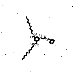 CCCCCCCCCCNC(=O)c1cc(NCC(=O)OCc2ccccc2)cc(C(=O)NCCCCCCCCCC)c1